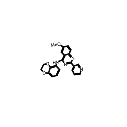 COc1ccc2nc(-c3cccnc3)nc(Nc3cccc4c3OCCO4)c2c1